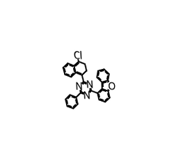 ClC1=c2ccccc2=C(c2nc(-c3ccccc3)nc(-c3cccc4oc5ccccc5c34)n2)CC1